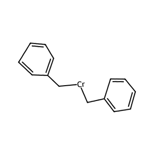 c1ccc([CH2][Cr][CH2]c2ccccc2)cc1